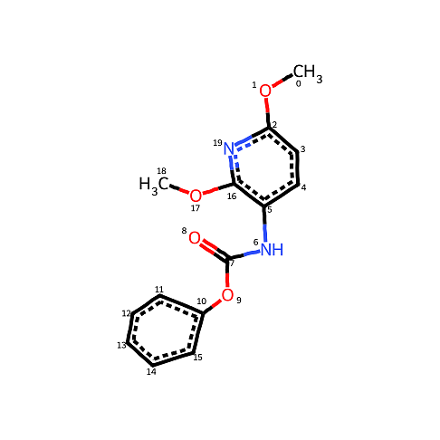 COc1ccc(NC(=O)Oc2ccccc2)c(OC)n1